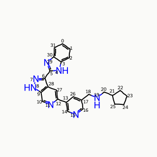 c1ccc2[nH]c(-c3n[nH]c4cnc(-c5cncc(CNCC6CCCC6)c5)cc34)nc2c1